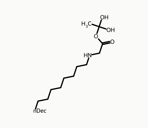 CCCCCCCCCCCCCCCCCCNCC(=O)OC(C)(O)O